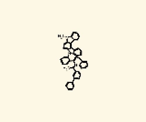 Cn1c2ccccc2c2c3c4ccccc4n(-c4ccccc4C(=C/Cc4ccccc4)/N=C(\N)c4cccc(-c5ccccc5)c4)c3ccc21